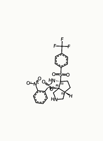 O=[N+]([O-])c1ccccc1S(=O)(=O)N[C@]1(S(=O)(=O)c2ccc(C(F)(F)F)cc2)CC[C@@H]2CNC[C@@H]21